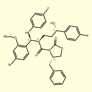 CCCCOc1cc(Br)ccc1[C@@H](Nc1ccc(F)cc1)[C@@H](CC[C@H](O)c1ccc(F)cc1)C(=O)N1C(=O)OC[C@@H]1Cc1ccccc1